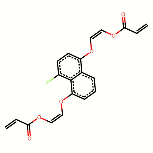 C=CC(=O)O/C=C\Oc1ccc(F)c2c(O/C=C\OC(=O)C=C)cccc12